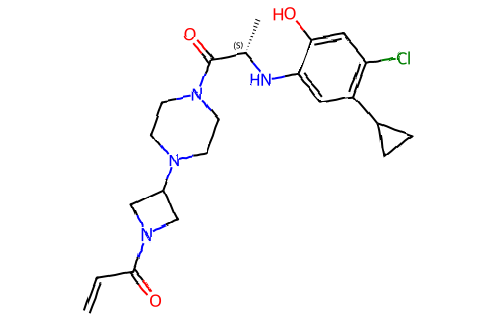 C=CC(=O)N1CC(N2CCN(C(=O)[C@H](C)Nc3cc(C4CC4)c(Cl)cc3O)CC2)C1